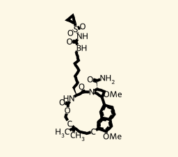 COc1cc2ccc3cc2cc1CCCC(C)(C)CCOC(=O)N[C@@H](CCCCCCCBC(=O)NS(=O)(=O)C1CC1)C(=O)N1C[C@@]3(OC)C[C@H]1C(N)=O